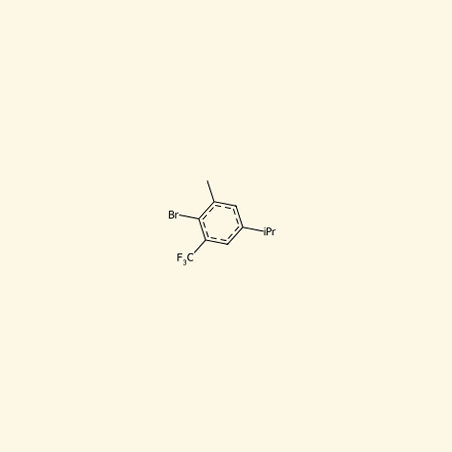 Cc1cc(C(C)C)cc(C(F)(F)F)c1Br